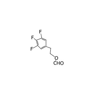 O=COCCc1cc(F)c(F)c(F)c1